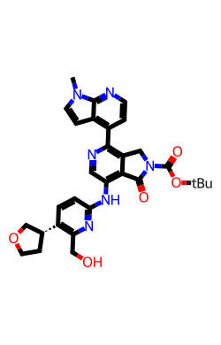 Cn1ccc2c(-c3ncc(Nc4ccc([C@@H]5CCOC5)c(CO)n4)c4c3CN(C(=O)OC(C)(C)C)C4=O)ccnc21